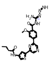 CCCC(=O)Nc1csc(-c2cncc(-c3ccc(C(=O)N/C(N)=N/N=N)c(OC)c3)n2)c1